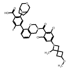 COC1CC2(C1)CN(c1cc(Cl)c(C(=O)N3COc4c(cccc4-c4cc(N5C6CCC5COC6)c(C(=O)O)cc4F)C3)c(Cl)c1)C2C